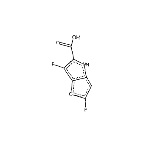 O=C(O)c1[nH]c2cc(F)oc2c1F